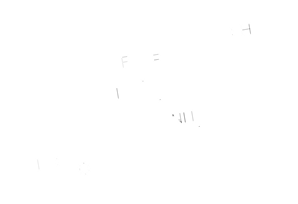 COc1ccc(C(N)(c2ccc(C)cc2)C(F)(F)F)cc1